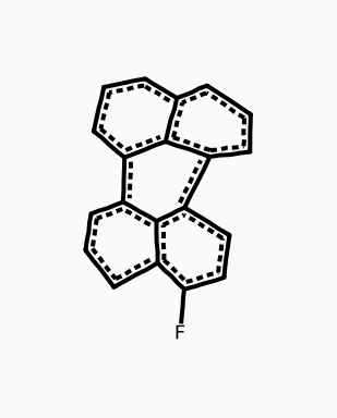 Fc1ccc2c3cccc4cccc(c5cccc1c52)c43